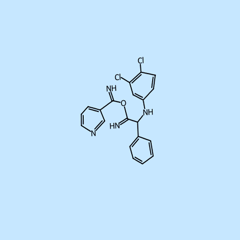 N=C(OC(=N)C(Nc1ccc(Cl)c(Cl)c1)c1ccccc1)c1cccnc1